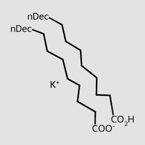 CCCCCCCCCCCCCCCCCC(=O)O.CCCCCCCCCCCCCCCCCC(=O)[O-].[K+]